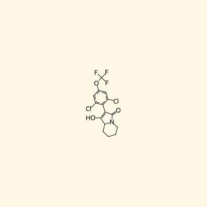 O=C1C(c2c(Cl)cc(OC(F)(F)F)cc2Cl)=C(O)C2CCCCN12